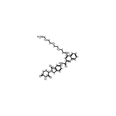 NCOCCOCCOCCNc1cc(C(=O)Nc2ccc3c(c2)C(=O)N(C2CCC(=O)NC2=O)C3)nc2ccccc12